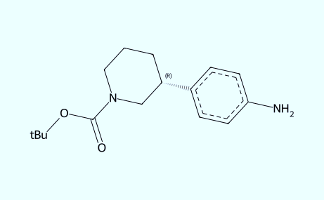 CC(C)(C)OC(=O)N1CCC[C@H](c2ccc(N)cc2)C1